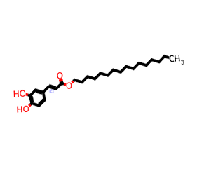 CCCCCCCCCCCCCCCCOC(=O)/C=C/c1ccc(O)c(O)c1